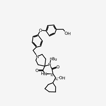 CCCCN1C(=O)[C@@H]([C@H](O)C2CCCCC2)NC(=O)C12CCN(Cc1ccc(Oc3ccc(CO)cc3)cc1)CC2